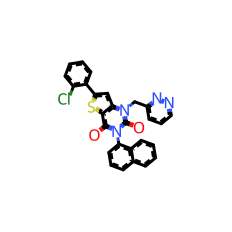 O=c1c2sc(-c3ccccc3Cl)cc2n(Cc2cccnn2)c(=O)n1-c1cccc2ccccc12